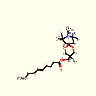 CCCCCCCCCCCCCCCCCC(=O)OCC1(CC)COC2(CC(C)(CC)N(OC(C)=O)C(C)(CC)C2)OC1